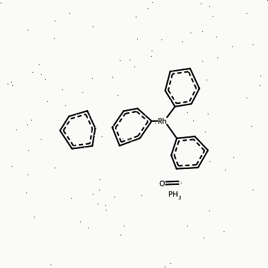 P.[C]=O.c1cc[c]([Rh]([c]2ccccc2)[c]2ccccc2)cc1.c1ccccc1